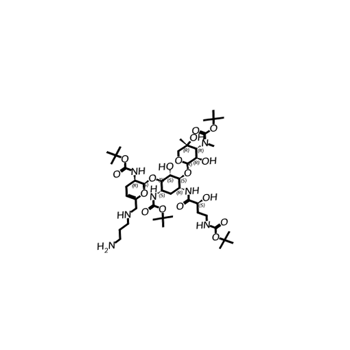 CN(C(=O)OC(C)(C)C)[C@@H]1[C@@H](O)[C@@H](O[C@@H]2[C@@H](O)[C@H](O[C@H]3OC(CNCCCN)=CC[C@H]3NC(=O)OC(C)(C)C)[C@@H](NC(=O)OC(C)(C)C)C[C@H]2NC(=O)[C@@H](O)CCNC(=O)OC(C)(C)C)OC[C@]1(C)O